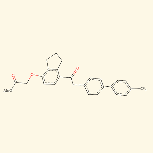 COC(=O)COc1ccc(C(=O)Cc2ccc(-c3ccc(C(F)(F)F)cc3)cc2)c2c1CCC2